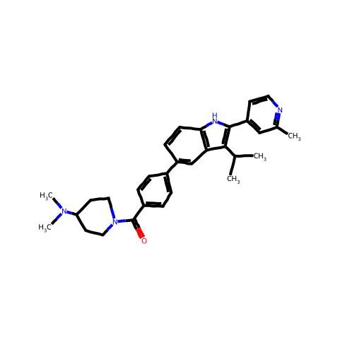 Cc1cc(-c2[nH]c3ccc(-c4ccc(C(=O)N5CCC(N(C)C)CC5)cc4)cc3c2C(C)C)ccn1